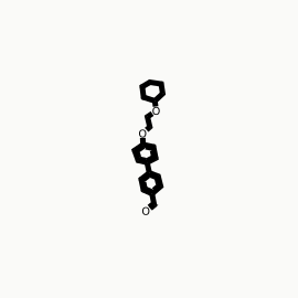 O=[C]c1ccc(-c2ccc(OCCOC3CCCCC3)cc2)cc1